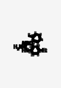 Cc1ccccc1.[CH2]Cc1ccc(NC(N)=O)c(OC)c1